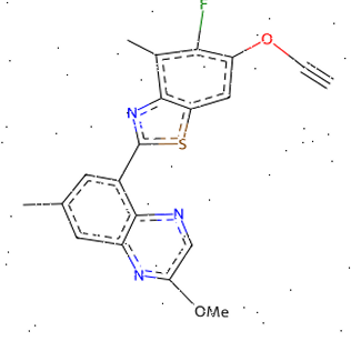 C#COc1cc2sc(-c3cc(C)cc4nc(OC)cnc34)nc2c(C)c1F